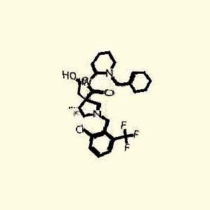 C[C@H]1CN(Cc2c(Cl)cccc2C(F)(F)F)C[C@@]1(CC(=O)O)C(=O)NC1CCCCN1CC1=CCCCC1